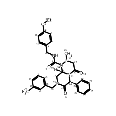 CCOc1ccc(CNC(=O)N2[C@H]3CN(Cc4cccc(C(F)(F)F)c4)C(=O)[C@H](c4ccccc4)N3C(=O)CN2C)cc1